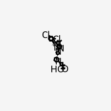 CC1CN([C@H](C)c2ccc(Cl)cc2Cl)c2nc(N3CC([C@H]4CCCN(C5CC(C)(C(=O)O)C5)C4)C3)ncc21